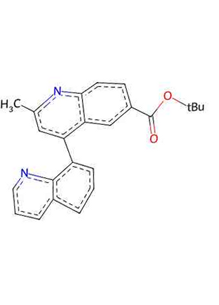 Cc1cc(-c2cccc3cccnc23)c2cc(C(=O)OC(C)(C)C)ccc2n1